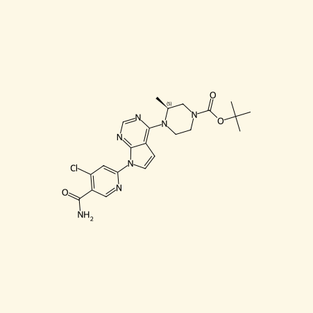 C[C@H]1CN(C(=O)OC(C)(C)C)CCN1c1ncnc2c1ccn2-c1cc(Cl)c(C(N)=O)cn1